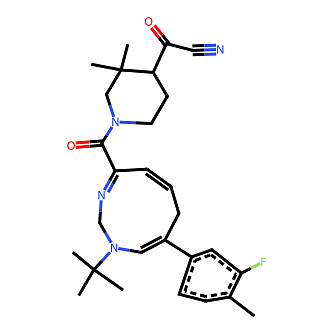 Cc1ccc(/C2=C/N(C(C)(C)C)C/N=C(C(=O)N3CCC(C(=O)C#N)C(C)(C)C3)\C=C/C2)cc1F